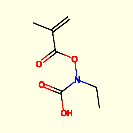 C=C(C)C(=O)ON(CC)C(=O)O